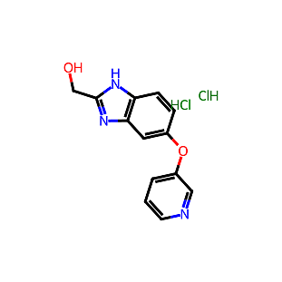 Cl.Cl.OCc1nc2cc(Oc3cccnc3)ccc2[nH]1